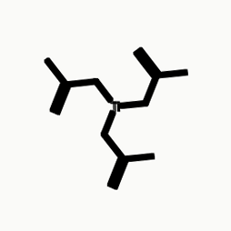 C=C(C)[CH2][Ti]([CH2]C(=C)C)[CH2]C(=C)C